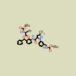 CC(C)C(NC(=O)OC(C)(C)C)C(=O)OC(c1ccccc1)c1cccc(NC(=O)c2cc(C(F)(F)F)nn2-c2cccc(CNC(=O)OC(C)(C)C)c2)c1